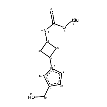 CC(C)(C)OC(=O)NC1CC(n2ccc(CO)n2)C1